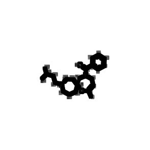 CC1=CCN(C(=O)c2ccccc2)C[C@]2(CCCN(CCC(C)C)CC2)O1